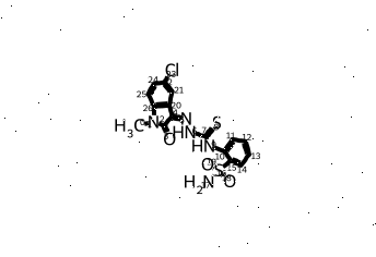 CN1C(=O)C(=NNC(=S)Nc2ccccc2S(N)(=O)=O)c2cc(Cl)ccc21